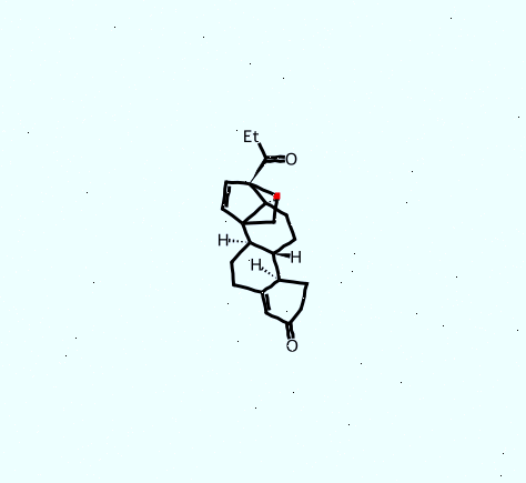 CCC(=O)[C@@]12C=CC3(CC1)[C@@H]1CCC4=CC(=O)CC[C@@H]4[C@H]1CC[C@@]32C